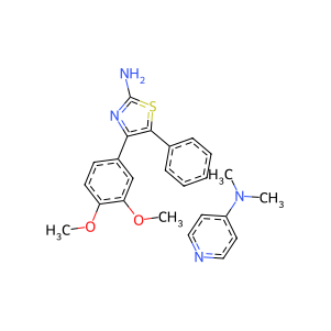 CN(C)c1ccncc1.COc1ccc(-c2nc(N)sc2-c2ccccc2)cc1OC